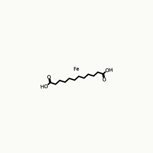 O=C(O)CCCCCCCCCCC(=O)O.[Fe]